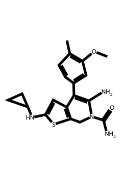 COc1cc(C2=C(N)N(C(N)=O)Cc3sc(NC4CC4)cc32)ccc1C